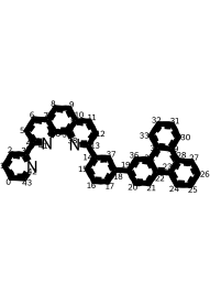 c1ccc(-c2ccc3ccc4ccc(-c5cccc(-c6ccc7c8ccccc8c8ccccc8c7c6)c5)nc4c3n2)nc1